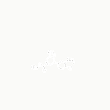 C[C@@H]1CC(c2ccc(Cl)c(N)c2)CN(C(=O)OC(C)(C)C)C1